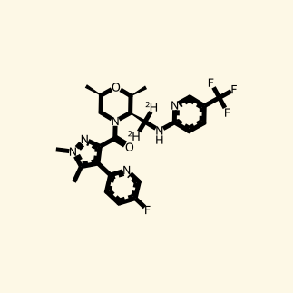 [2H]C([2H])(Nc1ccc(C(F)(F)F)cn1)[C@@H]1[C@H](C)O[C@H](C)CN1C(=O)c1nn(C)c(C)c1-c1ccc(F)cn1